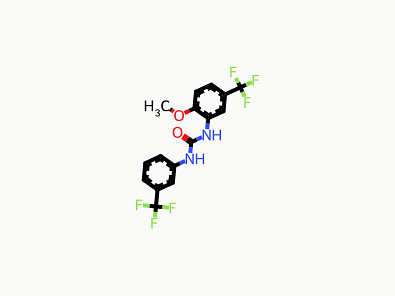 COc1ccc(C(F)(F)F)cc1NC(=O)Nc1cccc(C(F)(F)F)c1